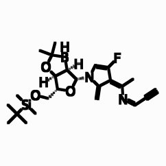 C#C/C=N\C(C)=c1\c(F)cn([C@@H]2O[C@H](CO[Si](C)(C)C(C)(C)C)[C@H]3OC(C)(C)B[C@H]32)c1=C